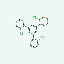 Clc1ccccc1-c1cc(-c2ccccc2Cl)cc(-c2ccccc2Cl)c1